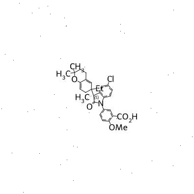 CCC1([C@]2(C)C(=O)N(c3ccc(OC)c(C(=O)O)c3)c3ccc(Cl)cc32)C=C2CCC(C)(C)OC2=CC1